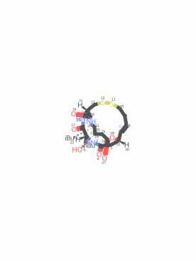 CCCC[C@H]1NC(=O)C[C@H]2/C=C/CCSSC[C@@H](NC1=O)C(=O)N[C@H](C(C)CC)[C@@H](O)CC(=O)O2